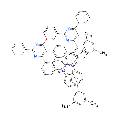 Cc1cc(C)cc(-c2ccc3c(c2)c2ccccc2n3-c2cccc(-c3nc(-c4ccccc4)nc(-c4ccccc4)n3)c2-c2cccc(-c3c(-c4nc(-c5ccccc5)nc(-c5ccccc5)n4)cccc3-n3c4ccccc4c4cc(-c5cc(C)cc(C)c5)ccc43)c2)c1